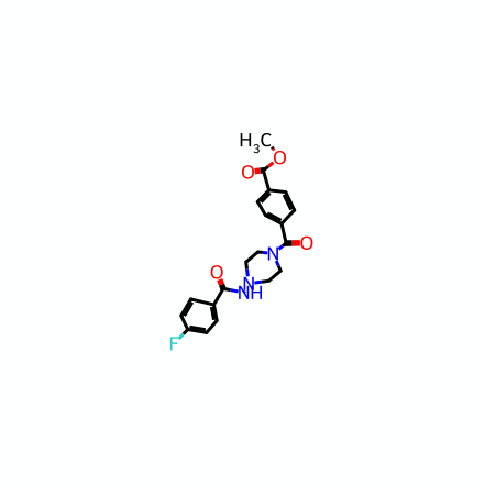 COC(=O)c1ccc(C(=O)N2CCN(NC(=O)c3ccc(F)cc3)CC2)cc1